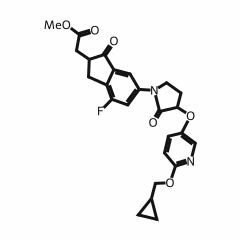 COC(=O)CC1Cc2c(F)cc(N3CCC(Oc4ccc(OCC5CC5)nc4)C3=O)cc2C1=O